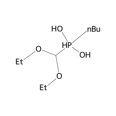 CCCC[PH](O)(O)C(OCC)OCC